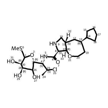 CSC1O[C@H]([C@H](NC(=O)[C@H]2NC[C@@H]3C[C@@H](C4CCCC4)CCO[C@H]32)[C@H](C)Cl)C(O)[C@@H](O)[C@H]1O